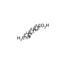 Cc1ccc(N2CCC(N3CCC(C(=O)O)CC3)CC2)c(F)c1